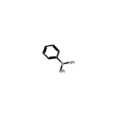 CCCB(CCC)c1ccccc1